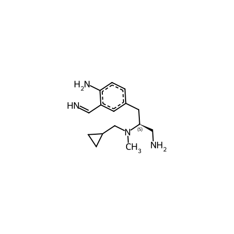 CN(CC1CC1)[C@H](CN)Cc1ccc(N)c(C=N)c1